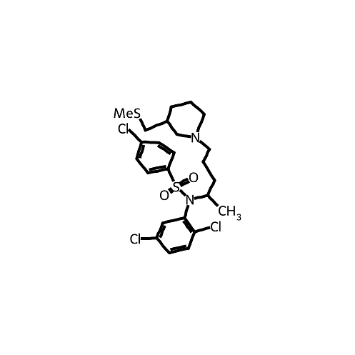 CSCC1CCCN(CCCC(C)N(c2cc(Cl)ccc2Cl)S(=O)(=O)c2ccc(Cl)cc2)C1